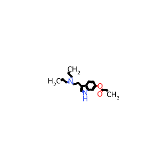 C=CCN(CC=C)CCc1c[nH]c2cc(OC(=O)CC)ccc12